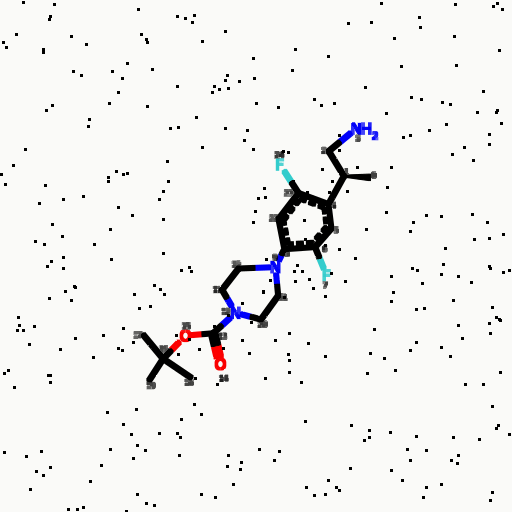 C[C@H](CN)c1cc(F)c(N2CCN(C(=O)OC(C)(C)C)CC2)cc1F